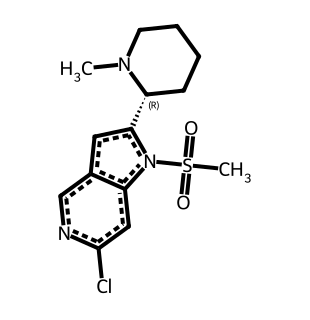 CN1CCCC[C@@H]1c1cc2cnc(Cl)cc2n1S(C)(=O)=O